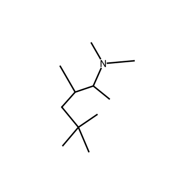 CC(CC(C)(C)C)C(C)N(C)C